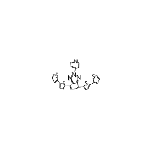 c1csc(-c2ccc(-c3ccc(-c4ccc(-c5cccs5)s4)c4nn(-c5ccncc5)nc34)s2)c1